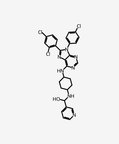 OC(NC1CCC(Nc2ncnc3c2nc(-c2ccc(Cl)cc2Cl)n3-c2ccc(Cl)cc2)CC1)c1cccnc1